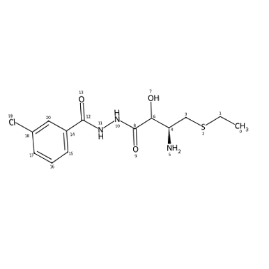 CCSC[C@@H](N)C(O)C(=O)NNC(=O)c1cccc(Cl)c1